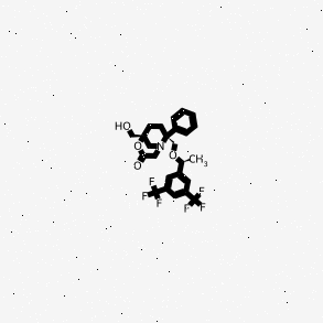 C[C@@H](OC[C@@]1(c2ccccc2)CC[C@]2(CO)CN1CC(=O)O2)c1cc(C(F)(F)F)cc(C(F)(F)F)c1